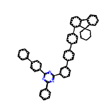 c1ccc(-c2ccc(-c3nc(-c4ccccc4)nc(-c4cccc(-c5ccc(-c6ccc(-c7cccc8c7C7(CCCCC7)c7ccccc7-8)cc6)cc5)c4)n3)cc2)cc1